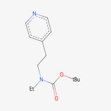 CCN(CCc1ccncc1)C(=O)OC(C)(C)C